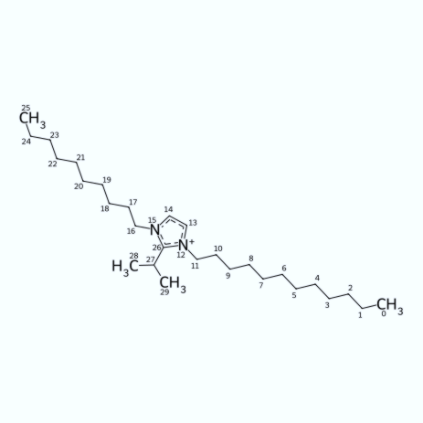 CCCCCCCCCCCC[n+]1ccn(CCCCCCCCCC)c1C(C)C